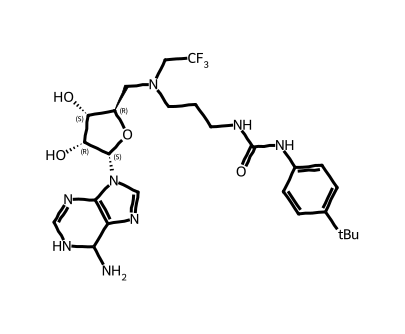 CC(C)(C)c1ccc(NC(=O)NCCCN(C[C@H]2O[C@H](n3cnc4c3N=CNC4N)[C@H](O)[C@@H]2O)CC(F)(F)F)cc1